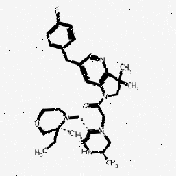 CC[C@@]1(C)COCCN1C[C@H]1CN[C@H](C)CN1CC(=O)N1CC(C)(C)c2ncc(Cc3ccc(F)cc3)cc21